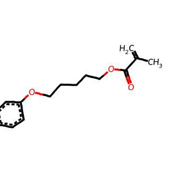 C=C(C)C(=O)OCCCCCOc1cc[c]cc1